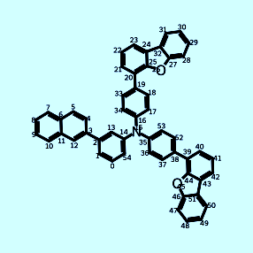 c1cc(-c2ccc3ccccc3c2)cc(N(c2ccc(-c3cccc4c3oc3ccccc34)cc2)c2ccc(-c3cccc4c3oc3ccccc34)cc2)c1